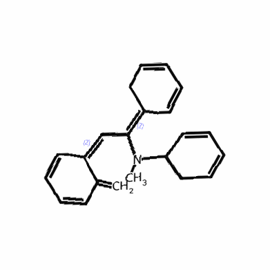 C=c1cccc/c1=C/C(=C1/C=CC=CC1)N(C)C1C=CC=CC1